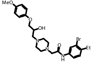 CCc1ccc(NC(=O)CN2CCN(CC(O)COc3ccc(OC)cc3)CC2)cc1Br